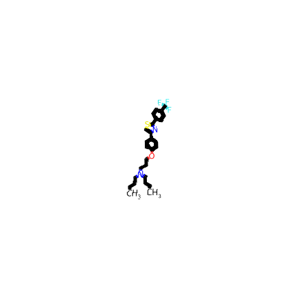 CCCCN(CCCC)CCCOc1ccc(-c2csc(-c3ccc(C(F)(F)F)cc3)n2)cc1